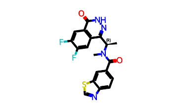 C[C@H](c1n[nH]c(=O)c2cc(F)c(F)cc12)N(C)C(=O)c1ccc2ncsc2c1